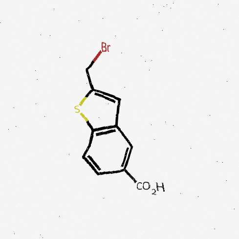 O=C(O)c1ccc2sc(CBr)cc2c1